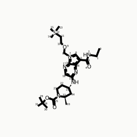 CCNC(=O)c1cn(COCCS(C)(C)C)c2ncc(N[C@H]3CCN(C(=O)OC(C)(C)C)[C@H](C)C3)nc12